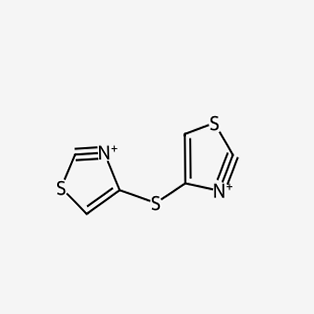 c1scc(Sc2csc#[n+]2)[n+]#1